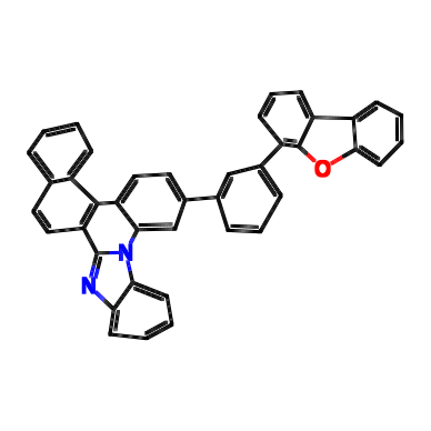 c1cc(-c2ccc3c4c5ccccc5ccc4c4nc5ccccc5n4c3c2)cc(-c2cccc3c2oc2ccccc23)c1